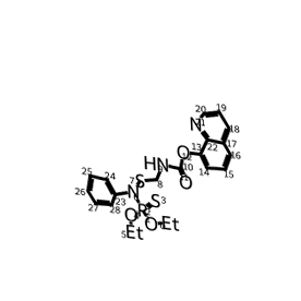 CCOP(=S)(OCC)N(SCNC(=O)Oc1cccc2cccnc12)c1ccccc1